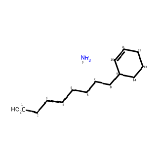 N.O=C(O)CCCCCCCC1C=CCCC1